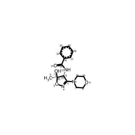 C[C@@]1(O)ON=C(N2CCOCC2)[C@H]1NC(=O)c1ccccc1